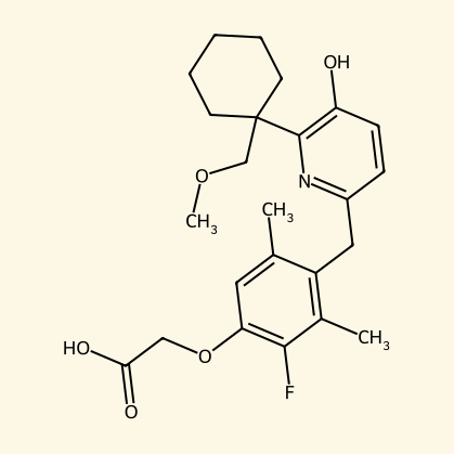 COCC1(c2nc(Cc3c(C)cc(OCC(=O)O)c(F)c3C)ccc2O)CCCCC1